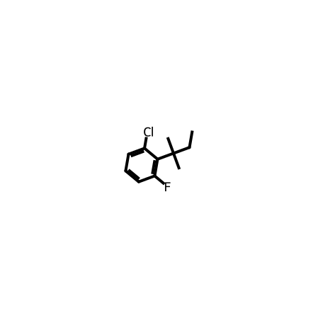 CCC(C)(C)c1c(F)cccc1Cl